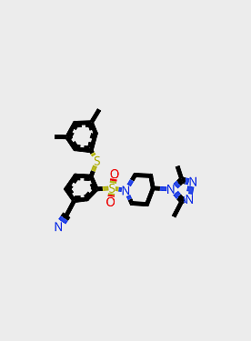 Cc1cc(C)cc(Sc2ccc(C#N)cc2S(=O)(=O)N2CCC(n3c(C)nnc3C)CC2)c1